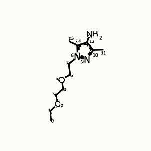 CCOCCOCCn1nc(C)c(N)c1C